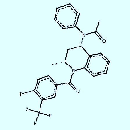 CC(=O)N(c1ccccc1)[C@H]1C[C@@H](C)N(C(=O)c2ccc(F)c(C(F)(F)F)c2)c2ccccc21